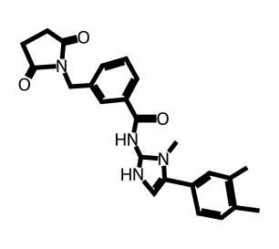 Cc1ccc(C2=CNC(NC(=O)c3cccc(CN4C(=O)CCC4=O)c3)N2C)cc1C